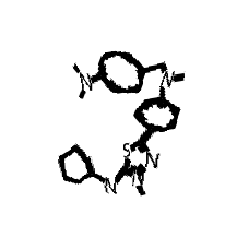 CN(C)c1ccc(CN(C)c2ccc(-c3nn(C)c(=NC4CCCCC4)s3)cc2)cc1